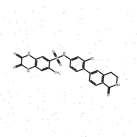 Cc1cc2[nH]c(=O)c(=O)[nH]c2cc1S(=O)(=O)Nc1ccc(-c2ccc3c(c2)CCNC3=O)c(Cl)c1